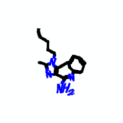 CCCCCn1c(C)nc2c(N)nc3ccccc3c21